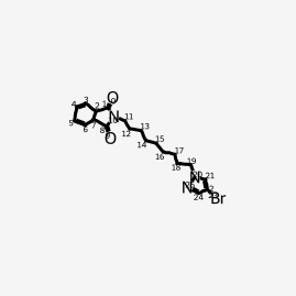 O=C1C2C=CC=CC2C(=O)N1CCCCCCCCCn1cc(Br)cn1